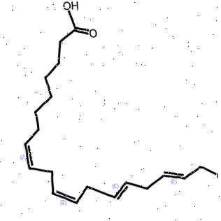 CC/C=C/C/C=C/C/C=C\C/C=C\CCCCCCC(=O)O